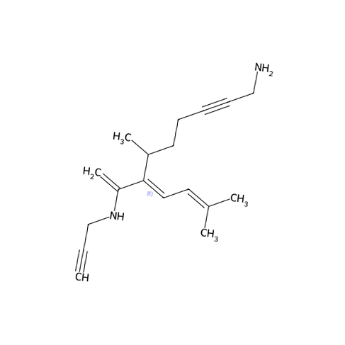 C#CCNC(=C)/C(=C/C=C(C)C)C(C)CCC#CCN